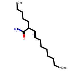 CCCCCCCCCCCCCCCC/C=C/C(CCCCCCCCCCCCCC)C(N)=O